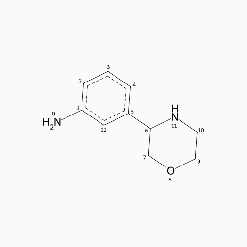 Nc1cccc(C2COCCN2)c1